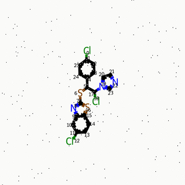 Clc1ccc(C(Sc2nc3cc(Cl)ccc3s2)C(Cl)n2ccnc2)cc1